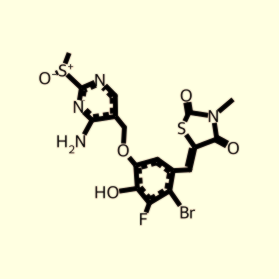 CN1C(=O)S/C(=C\c2cc(OCc3cnc([S+](C)[O-])nc3N)c(O)c(F)c2Br)C1=O